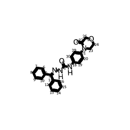 O=C(NN=C(c1ccccc1)c1ccccc1)Nc1ccc(N2CCOCC2=O)cc1